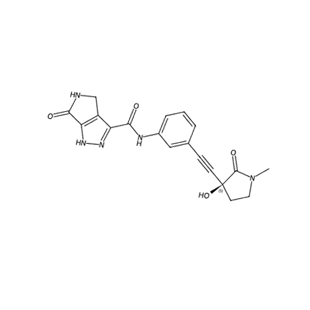 CN1CC[C@](O)(C#Cc2cccc(NC(=O)c3n[nH]c4c3CNC4=O)c2)C1=O